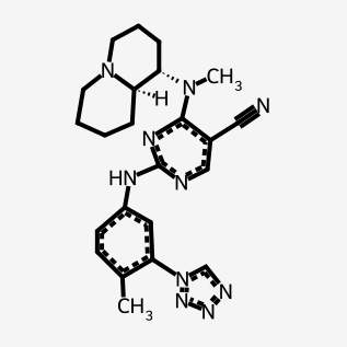 Cc1ccc(Nc2ncc(C#N)c(N(C)[C@H]3CCCN4CCCC[C@H]34)n2)cc1-n1cnnn1